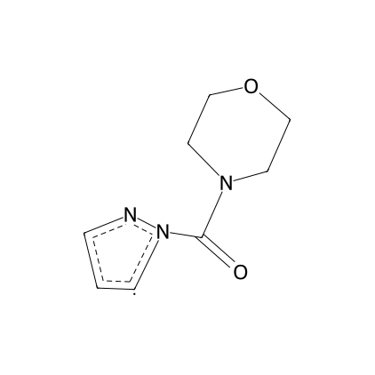 O=C(N1CCOCC1)n1[c]ccn1